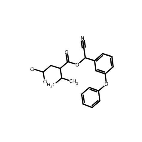 CC(C)C(CC(Cl)Cl)C(=O)OC(C#N)c1cccc(Oc2ccccc2)c1